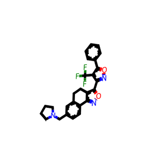 FC(F)(F)c1c(-c2onc3c2CCc2cc(CN4[CH]CCC4)ccc2-3)noc1-c1ccccc1